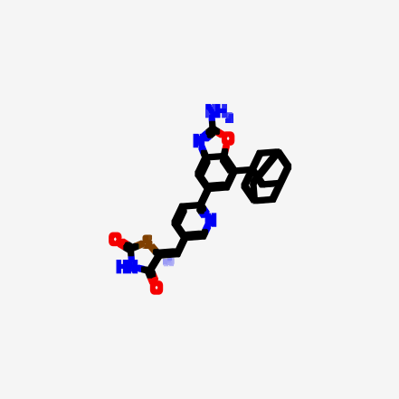 Nc1nc2cc(-c3ccc(/C=C4\SC(=O)NC4=O)cn3)cc(C34CC5CC(CC(C5)C3)C4)c2o1